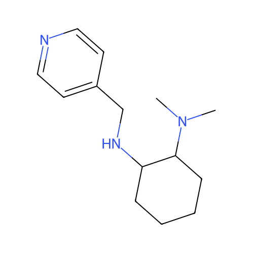 CN(C)C1CCCCC1NCc1ccncc1